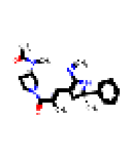 C=NC1=C(/C=C(\C)C(=O)N2CC[C@H](N(C)C(C)=O)C2)C[C@](C)(c2ccccc2)N1